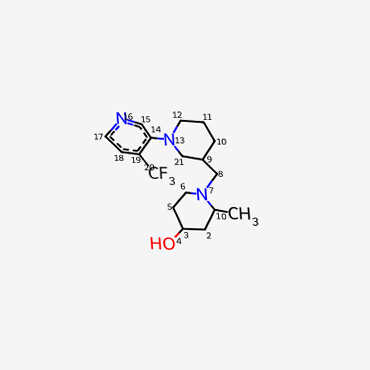 CC1CC(O)CCN1CC1CCCN(c2cnccc2C(F)(F)F)C1